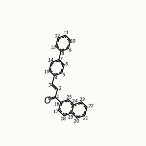 O=C(C=Cc1ccc(-c2ccccc2)cc1)c1ccc2ccccc2c1